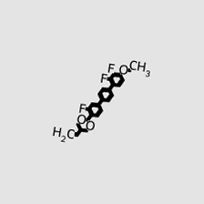 C=CC1COC(c2ccc(-c3ccc(-c4ccc(OCC)c(F)c4F)cc3)cc2F)OC1